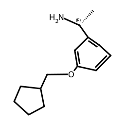 C[C@@H](N)c1cccc(OCC2CCCC2)c1